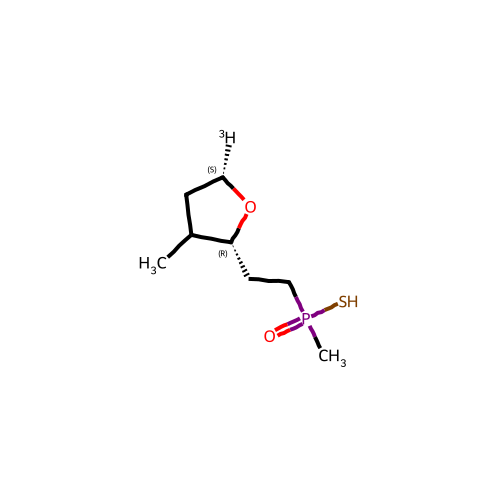 [3H][C@H]1CC(C)[C@@H](CCP(C)(=O)S)O1